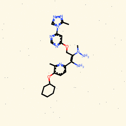 Cc1nc(/C(N)=C(\COc2cc(-n3cnnc3C)ncn2)N(C)N)ccc1OC1CCCCC1